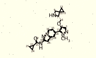 Cn1ncc(OC[C@@H]2NCC23CC3)c1-c1ccn2nc(NC(=O)C3CC3)cc2c1